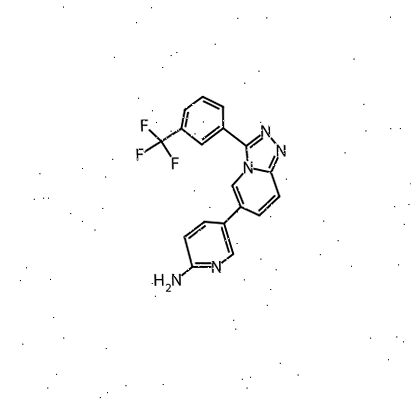 Nc1ccc(-c2ccc3nnc(-c4cccc(C(F)(F)F)c4)n3c2)cn1